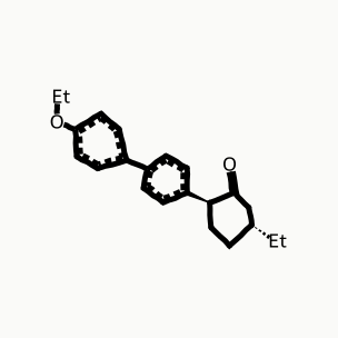 CCOc1ccc(-c2ccc([C@@H]3CC[C@@H](CC)CC3=O)cc2)cc1